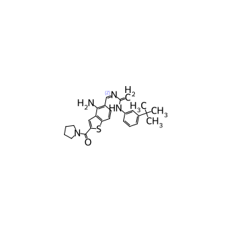 C=C(/N=C\c1ccc2sc(C(=O)N3CCCC3)cc2c1N)Nc1cccc(C(C)(C)C)c1